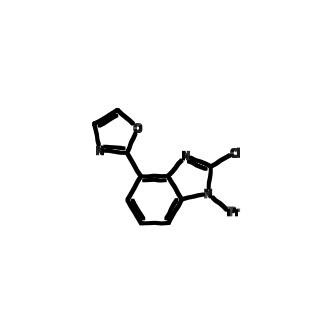 CC(C)n1c(Cl)nc2c(-c3ncco3)cccc21